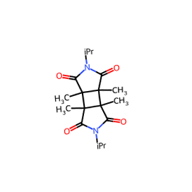 CC(C)N1C(=O)C2(C)C(C)(C1=O)C1(C)C(=O)N(C(C)C)C(=O)C21C